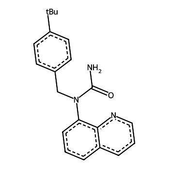 CC(C)(C)c1ccc(CN(C(N)=O)c2cccc3cccnc23)cc1